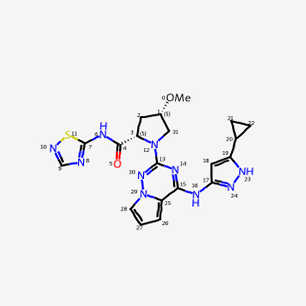 CO[C@H]1C[C@@H](C(=O)Nc2ncns2)N(c2nc(Nc3cc(C4CC4)[nH]n3)c3cccn3n2)C1